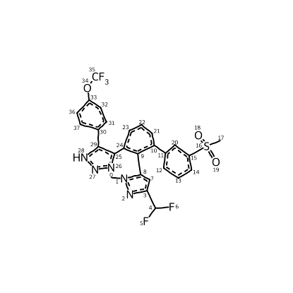 Cn1nc(C(F)F)cc1-c1c(-c2cccc(S(C)(=O)=O)c2)cccc1-c1nn[nH]c1-c1ccc(OC(F)(F)F)cc1